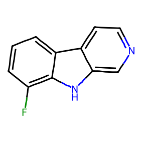 Fc1cccc2c1[nH]c1cnccc12